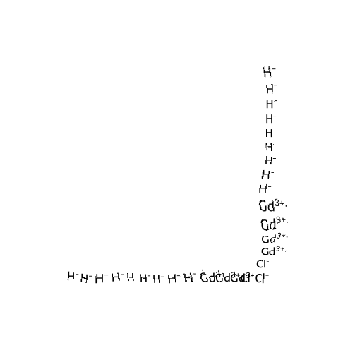 [Cl-].[Cl-].[Cl-].[Gd+3].[Gd+3].[Gd+3].[Gd+3].[Gd+3].[Gd+3].[Gd+3].[H-].[H-].[H-].[H-].[H-].[H-].[H-].[H-].[H-].[H-].[H-].[H-].[H-].[H-].[H-].[H-].[H-].[H-]